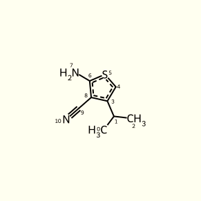 CC(C)c1csc(N)c1C#N